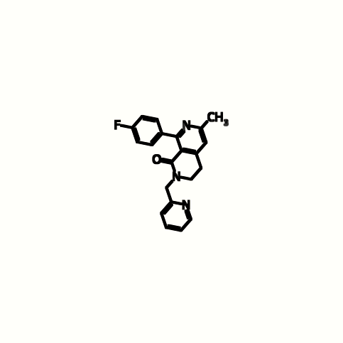 Cc1cc2c(c(-c3ccc(F)cc3)n1)C(=O)N(Cc1ccccn1)CC2